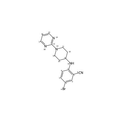 N#Cc1cc(Br)ccc1NC1CCN(c2ncccn2)CC1